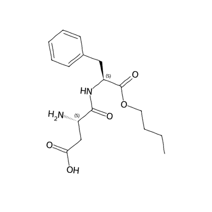 CCCCOC(=O)[C@H](Cc1ccccc1)NC(=O)[C@@H](N)CC(=O)O